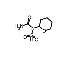 NC(=O)N(C1CCCCO1)[SH](=O)=O